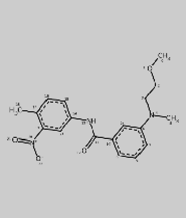 COCCN(C)c1cccc(C(=O)Nc2ccc(C)c([N+](=O)[O-])c2)c1